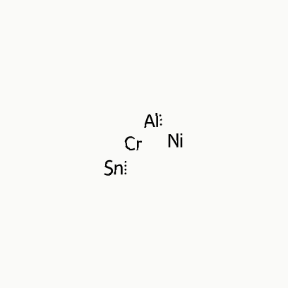 [Al].[Cr].[Ni].[Sn]